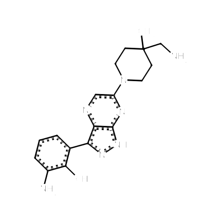 Cc1c(N)cccc1-c1n[nH]c2nc(N3CCC(C)(CN)CC3)cnc12